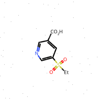 CCS(=O)(=O)c1cncc(C(=O)O)c1